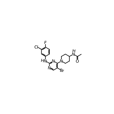 CC(=O)NC1CCN(c2nc(Nc3ccc(F)c(Cl)c3)ncc2Br)CC1